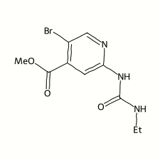 CCNC(=O)Nc1cc(C(=O)OC)c(Br)cn1